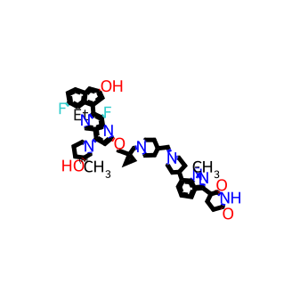 CCc1c(F)ccc2cc(O)cc(-c3ncc4c(N5CCC[C@@](C)(O)C5)cc(OCC5(CN6CCC(CN7CCC(c8cccc9c(C%10CCC(=O)NC%10=O)nn(C)c89)CC7)CC6)CC5)nc4c3F)c12